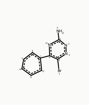 Nc1nnc(Br)c(-c2ccccc2)n1